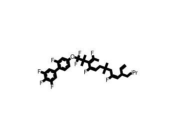 C=CC(/C=C(/F)CC(C)(C)C/C=C(F)\C(=C(/C)F)C(C)(C)C(F)(F)Oc1ccc(-c2cc(F)c(F)c(F)c2)c(F)c1)CC(C)C